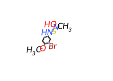 COc1ccc(NSN(C)O)cc1Br